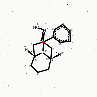 O/N=C1\C[C@H]2CCC[C@@H](C1)N2Cc1ccccc1